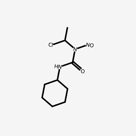 CC(Cl)N(N=O)C(=O)NC1CCCCC1